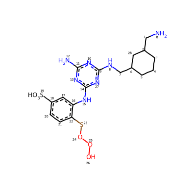 NCC1CCCC(CNc2nc(N)nc(Nc3cc(S(=O)(=O)O)ccc3SOOO)n2)C1